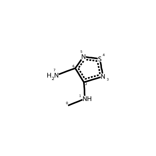 CNc1nsnc1N